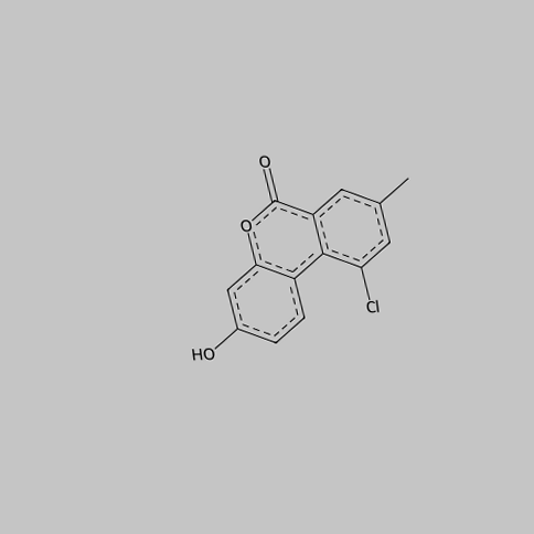 Cc1cc(Cl)c2c(c1)c(=O)oc1cc(O)ccc12